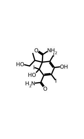 CC(CO)C1(C(N)=O)C(I)=C(O)C(I)=C(C(N)=O)C1(O)I